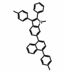 Cc1ccc(-c2ccc(-c3ccc4c(-c5ccc(C)cc5)c(-c5ccccc5)n(C)c4c3)c3ccccc23)cc1